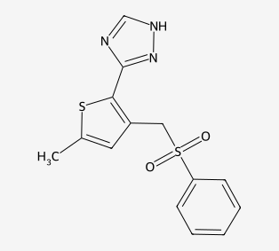 Cc1cc(CS(=O)(=O)c2ccccc2)c(-c2nc[nH]n2)s1